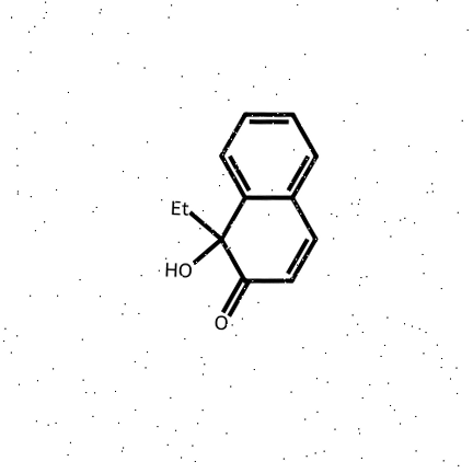 CCC1(O)C(=O)C=Cc2ccccc21